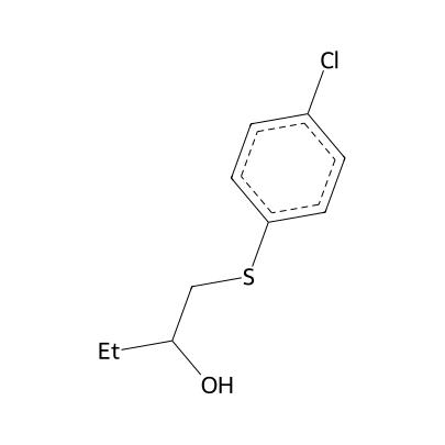 CCC(O)CSc1ccc(Cl)cc1